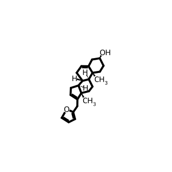 C[C@]12CC[C@H](O)CC1=CC[C@@H]1[C@@H]2CC[C@]2(C)C(Cc3ccco3)=CC[C@@H]12